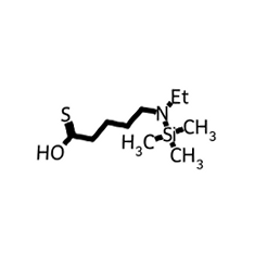 CCN(CCCCC(O)=S)[Si](C)(C)C